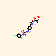 CC(C)C(NC(=O)c1csc(-c2ccc(NC(=O)Nc3ccc(F)cc3F)cc2)n1)C(=O)O